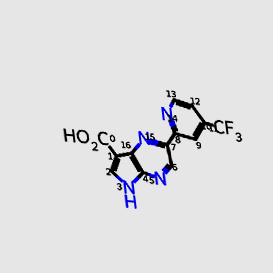 O=C(O)c1c[nH]c2ncc(-c3cc(C(F)(F)F)ccn3)nc12